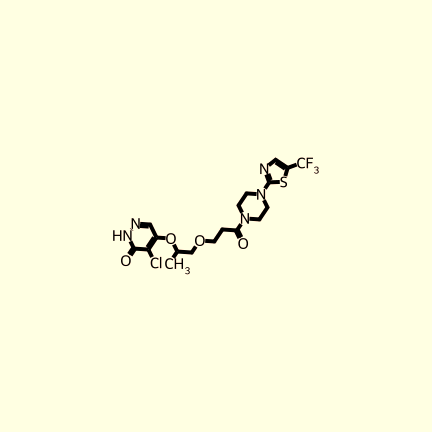 CC(COCCC(=O)N1CCN(c2ncc(C(F)(F)F)s2)CC1)Oc1cn[nH]c(=O)c1Cl